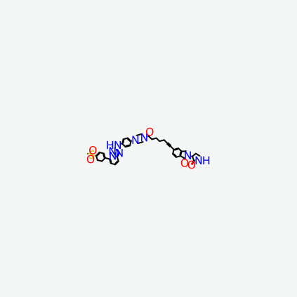 CS(=O)(=O)C1=CC=C(c2cccc3nc(Nc4ccc(N5CCN(C(=O)CCCCC#Cc6ccc7c(c6)CN(C6CCNC6=O)C7=O)CC5)cc4)nn23)CC1